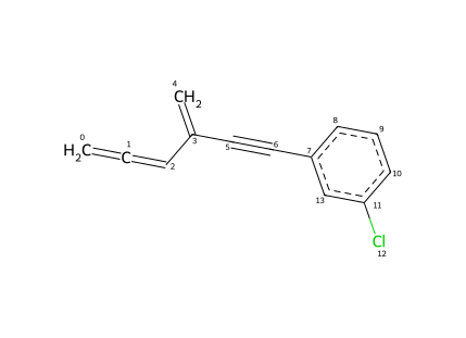 C=C=CC(=C)C#Cc1cccc(Cl)c1